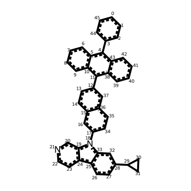 c1ccc(-c2c3ccccc3c(-c3ccc4cc(-n5c6cnccc6c6ccc(C7CC7)cc65)ccc4c3)c3ccccc23)cc1